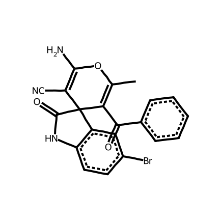 CC1=C(C(=O)c2ccccc2)C2(C(=O)Nc3ccc(Br)cc32)C(C#N)=C(N)O1